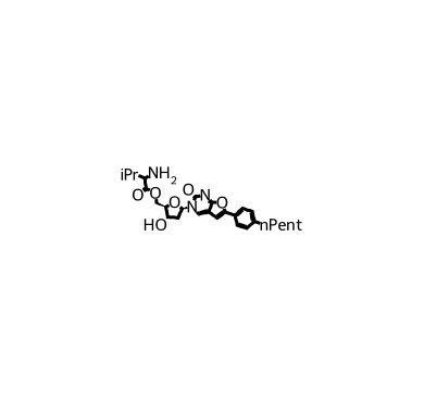 CCCCCc1ccc(-c2cc3cn([C@H]4C[C@@H](O)[C@@H](COC(=O)C(N)C(C)C)O4)c(=O)nc3o2)cc1